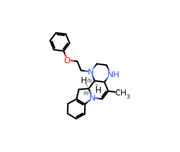 CC1=CN2C3=C(CCC=C3)C[C@H]2[C@@H]2C1NCCN2CCOc1ccccc1